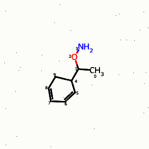 CC(ON)C1C=CC=CC1